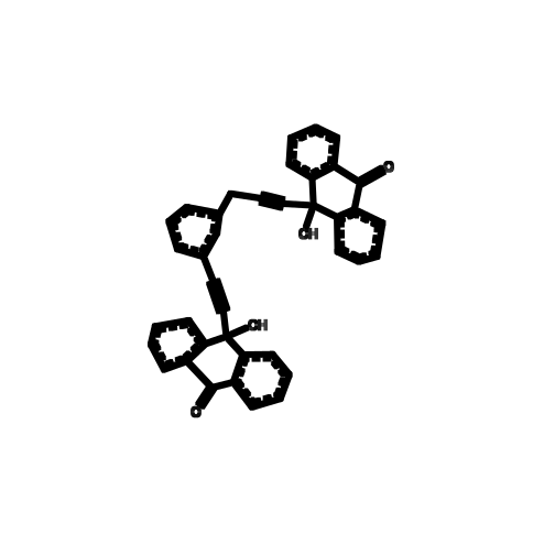 O=C1c2ccccc2C(O)(C#CCc2cccc(C#CC3(O)c4ccccc4C(=O)c4ccccc43)c2)c2ccccc21